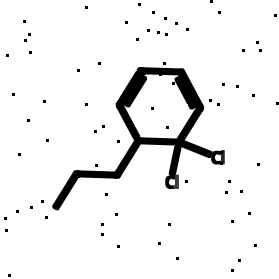 CCCC1C=CC=CC1(Cl)Cl